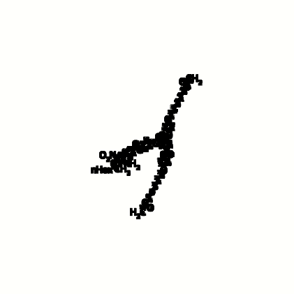 C=CC(=O)OCCCCCCCCCCOc1ccc(OC(=O)c2ccc(C(=O)Oc3ccc(OCCCCCCCCCCOC(=O)C=C)cc3)c(C(=O)OCc3ccc(OC(=O)c4ccc(-c5cc([N+](=O)[O-])c(O[C@@H](C)CCCCCC)cc5N)cc4)cc3)c2)cc1